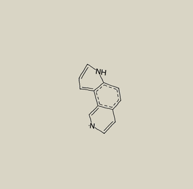 C1=CNc2ccc3c(c2=C1)=C[N]C=C3